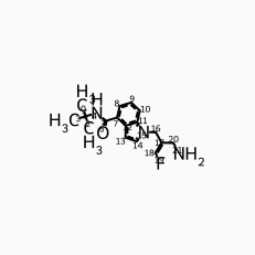 CC(C)(C)NC(=O)c1cccc2c1ccn2CC(=CF)CN